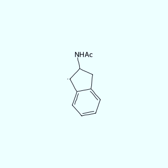 CC(=O)NC1[CH]c2ccccc2C1